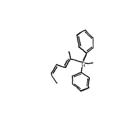 C/C=C\C=C(/C)[PH](C)(c1ccccc1)c1ccccc1